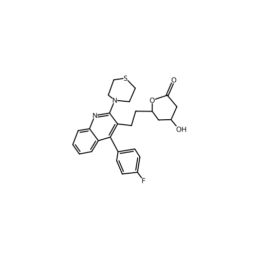 O=C1CC(O)CC(CCc2c(N3CCSCC3)nc3ccccc3c2-c2ccc(F)cc2)O1